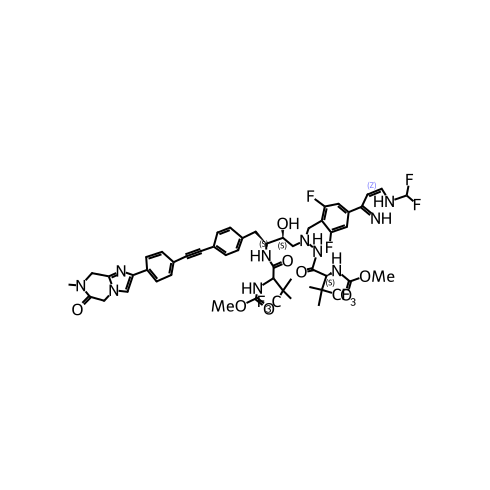 COC(=O)NC(C(=O)N[C@@H](Cc1ccc(C#Cc2ccc(-c3cn4c(n3)CN(C)C(=O)C4)cc2)cc1)[C@@H](O)CN(Cc1c(F)cc(C(=N)/C=C\NC(F)F)cc1F)NC(=O)[C@@H](NC(=O)OC)C(C)(C)C(F)(F)F)C(C)(C)C(F)(F)F